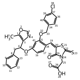 Cc1ocnc1C(Cc1ccccc1)Oc1ccc(C=C2SC(=S)N(CC(=O)O)C2=O)c(OCc2ccc(Cl)cc2)c1